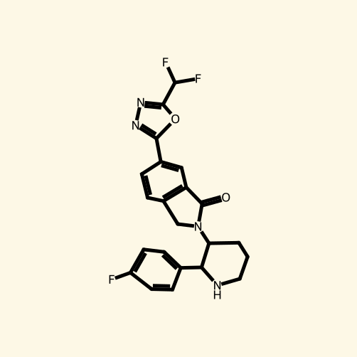 O=C1c2cc(-c3nnc(C(F)F)o3)ccc2CN1C1CCCNC1c1ccc(F)cc1